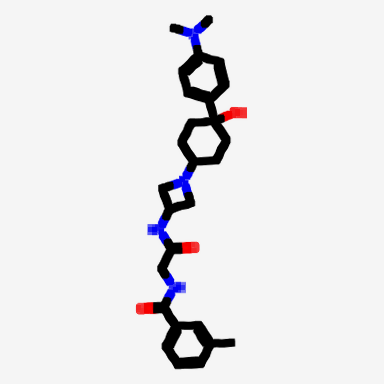 Cc1cccc(C(=O)NCC(=O)NC2CN(C3CCC(O)(c4ccc(N(C)C)cc4)CC3)C2)c1